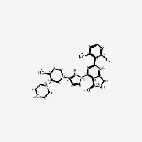 N#Cc1cccc(F)c1-c1cc(-n2ccc(N3CCC(O)[C@@H](N4CCOCC4)C3)n2)c2c(n1)CNC2=O